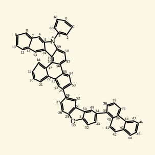 c1ccc(-n2c3cc4ccccc4cc3c3c4c5ccccc5c5cc(-c6ccc7oc8ccc(-c9cccc%10c9ccc9ccccc9%10)cc8c7c6)ccc5c4ccc32)cc1